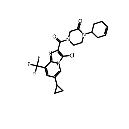 O=C(c1nc2c(C(F)(F)F)cc(C3CC3)cn2c1Cl)N1CCN(C2CC=CCC2)C(=O)C1